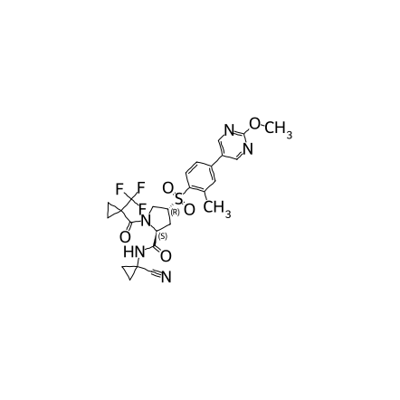 COc1ncc(-c2ccc(S(=O)(=O)[C@@H]3C[C@@H](C(=O)NC4(C#N)CC4)N(C(=O)C4(C(F)(F)F)CC4)C3)c(C)c2)cn1